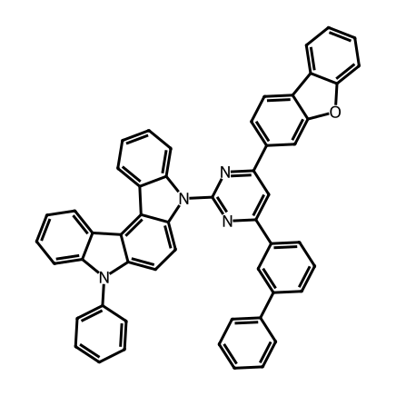 c1ccc(-c2cccc(-c3cc(-c4ccc5c(c4)oc4ccccc45)nc(-n4c5ccccc5c5c6c7ccccc7n(-c7ccccc7)c6ccc54)n3)c2)cc1